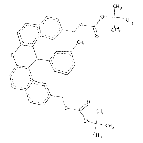 Cc1cccc(C2c3c(ccc4ccc(COC(=O)OC(C)(C)C)cc34)Oc3ccc4ccc(COC(=O)OC(C)(C)C)cc4c32)c1